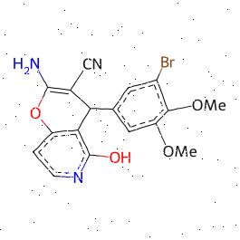 COc1cc(C2C(C#N)=C(N)Oc3ccnc(O)c32)cc(Br)c1OC